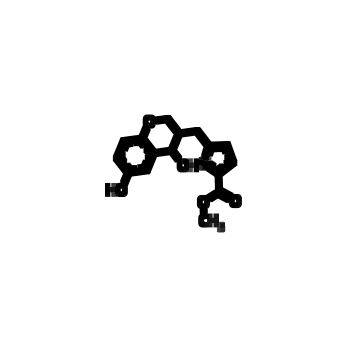 COC(=O)c1ccc(CC2COc3ccc(O)cc3C2O)s1